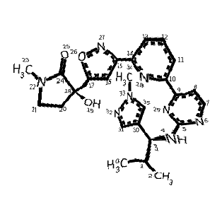 CC(C)[C@H](Nc1nccc(-c2cccc(-c3cc([C@]4(O)CCN(C)C4=O)on3)n2)n1)c1cnn(C)c1